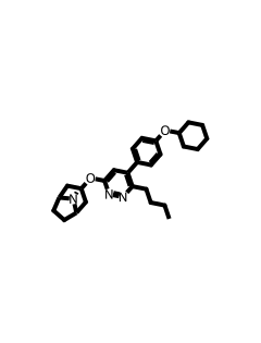 CCCCc1nnc(OC2CC3CCC(C2)N3C)cc1-c1ccc(OC2CCCCC2)cc1